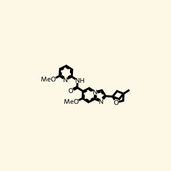 COc1cccc(NC(=O)c2cn3cc(C45CC(C)(CO4)C5)nc3cc2OC)n1